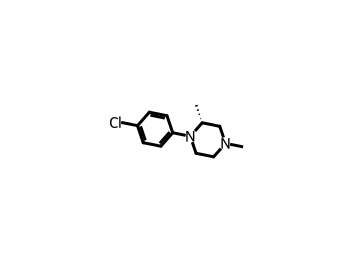 C[C@@H]1CN(C)CCN1c1ccc(Cl)cc1